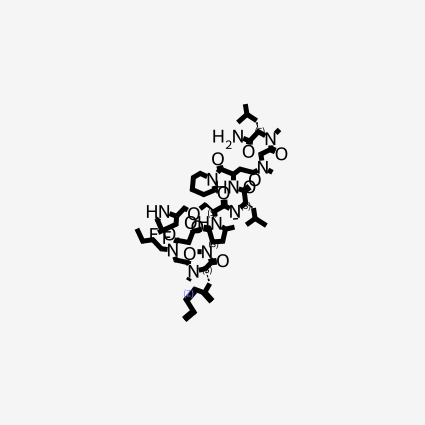 C=C/C=C\C(=C)C[C@@H](C(=O)N(C)[C@H]1CC(C)N([C@@H](COCC2CC(F)(F)CN2)C(=O)N(C)[C@@H](CC(C)C)C(=O)NC(CC(=O)N(C)CC(=O)N(C)[C@@H](CC(C)C)C(N)=O)C(=O)N2CCCCC2)C1=O)N(C)C(=O)CN(CCCC)C(=O)CC(C)O